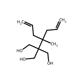 C=CCC(C)(CC=C)C(CO)(CO)CO